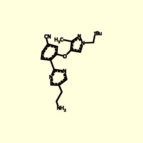 Cc1nn(CC(C)(C)C)cc1Oc1cc(C#N)ccc1-c1ncc(CCN)cn1